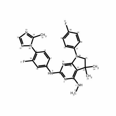 CNc1nc(Nc2ccc(-n3ncnc3C)c(F)c2)nc2c1C(C)(C)CN2c1ccc(F)cc1